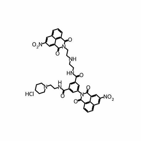 Cl.O=C(NCCNCCN1C(=O)c2cccc3cc([N+](=O)[O-])cc(c23)C1=O)c1cc(C(=O)NCCN2CCCCC2)cc(N2C(=O)c3cccc4cc([N+](=O)[O-])cc(c34)C2=O)c1